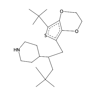 CC(C)(C)CC(Cc1sc(C(C)(C)C)c2c1OCCO2)C1CCNCC1